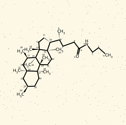 CCCNC(=O)CC[C@@H](C)[C@H]1CC[C@@]2(C)[C@]3(C)[C@H](C)C[C@]4(C)C[C@H](C)CC[C@]4(C)[C@@]3(C)CC[C@]12C